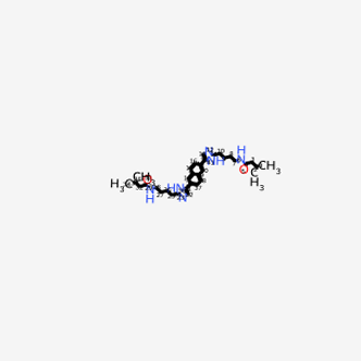 CC(C)CC(=O)NCCCCc1ncc(-c2ccc3cc(-c4cnc(CCCCNC(=O)CC(C)C)[nH]4)ccc3c2)[nH]1